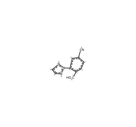 N#Cc1ccc(C(=O)O)c(-n2nccn2)c1